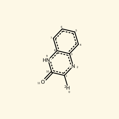 [2H]c1nc2ccccc2[nH]c1=O